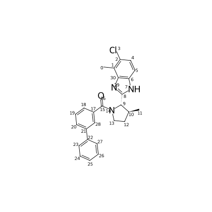 Cc1c(Cl)ccc2[nH]c([C@@H]3[C@@H](C)CCN3C(=O)c3cccc(-c4ccccc4)c3)nc12